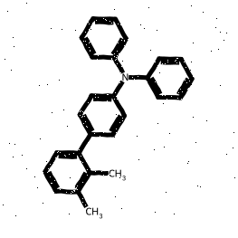 Cc1cccc(-c2ccc(N(c3ccccc3)c3ccccc3)cc2)c1C